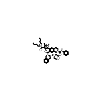 CCCCN(CCCC)C(=O)c1cc(-c2cc3c(cc2C(=O)N2Cc4ccccc4C[C@H]2CN2CCOCC2)CN(C(=O)N(C)c2ccccc2)CC3)n(C)c1C